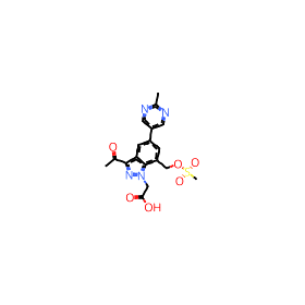 CC(=O)c1nn(CC(=O)O)c2c(COS(C)(=O)=O)cc(-c3cnc(C)nc3)cc12